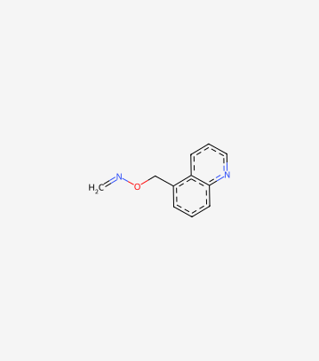 C=NOCc1cccc2ncccc12